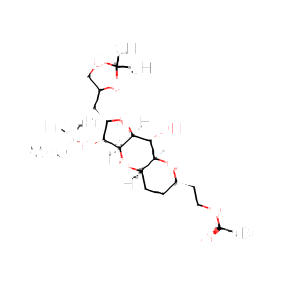 CO[Si](O[C@@H]1[C@@H]2O[C@H]3CC[C@H](CCOC(=O)C(C)(C)C)O[C@@H]3[C@H](O)[C@@H]2O[C@@H]1CC1COC(C)(C)O1)(C(C)C)C(C)C